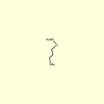 CCCCCCCONC(C)=O